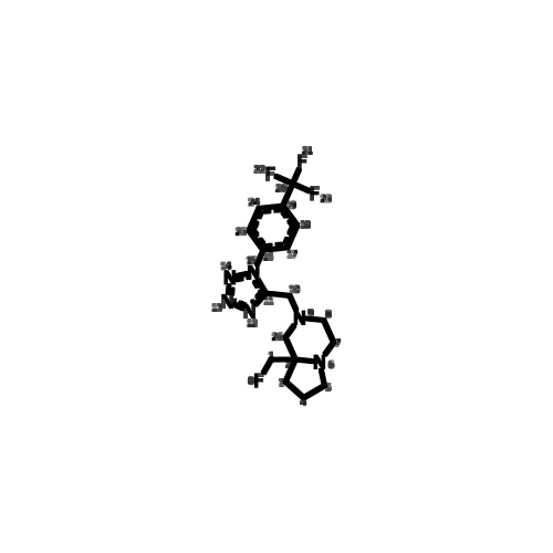 FCC12CCCN1CCN(Cc1nnnn1-c1ccc(C(F)(F)F)cc1)C2